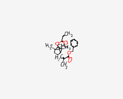 C=C(C)C(=O)OCc1ccccc1.C=CC(=O)OC1CC2CCC1(C)C2(C)C